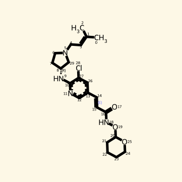 CC(C)=CCN1CC[C@@H](Nc2ncc(/C=C/C(=O)NOC3CCCCO3)cc2Cl)C1